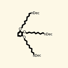 CCCCCCCCCCCCCCCCCCOc1[c]ccc(OCCCCCCCCCCCCCCCCCC)c1OCCCCCCCCCCCCCCCCCC